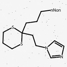 CCCCCCCCCCCCC1(CCn2ccnc2)SCCCS1